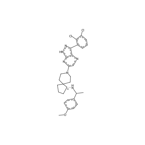 COc1ccc(C(C)N[C@@H]2CCCC23CCN(c2cnc4c(-c5cccc(Cl)c5Cl)n[nH]c4n2)CC3)cc1